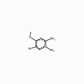 COc1nc(N)[n+](N)cc1Br